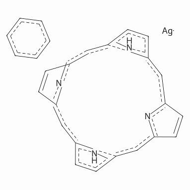 C1=Cc2cc3ccc(cc4nc(cc5ccc(cc1n2)[nH]5)C=C4)[nH]3.[Ag].c1ccccc1